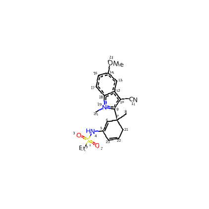 CCS(=O)(=O)NC1=CC(C)(c2c(C#N)c3cc(OC)ccc3n2C)CC=C1